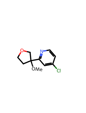 COC1(c2cc(Cl)ccn2)CCOC1